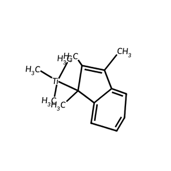 CC1=C(C)[C](C)([Ti]([CH3])([CH3])[CH3])c2ccccc21